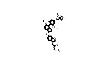 COC(=O)C[C@@H]1COc2cc(O[C@@H]3CCc4c3ccc(Cl)c4-c3c(C)cc(OCC4(C)COC4)cc3C)ccc21